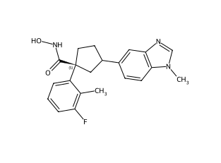 Cc1c(F)cccc1[C@]1(C(=O)NO)CCC(c2ccc3c(c2)ncn3C)C1